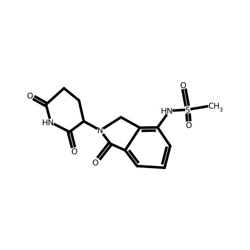 CS(=O)(=O)Nc1cccc2c1CN(C1CCC(=O)NC1=O)C2=O